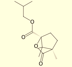 CC(C)COC(=O)[C@@]12CC[C@@](C)(C(=O)O1)C2(C)C